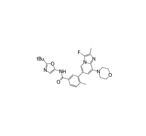 Cc1ccc(C(=O)Nc2cnc(C(C)(C)C)o2)cc1-c1cc(N2CCOCC2)c2nc(C)c(F)n2c1